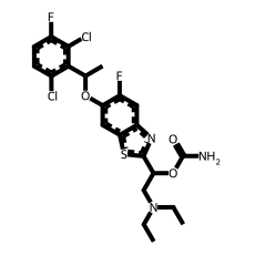 CCN(CC)CC(OC(N)=O)c1nc2cc(F)c(OC(C)c3c(Cl)ccc(F)c3Cl)cc2s1